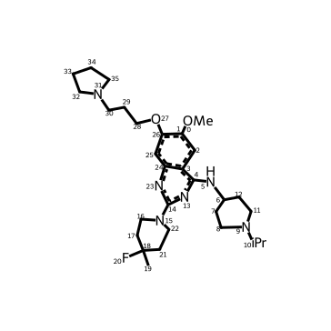 COc1cc2c(NC3CCN(C(C)C)CC3)nc(N3CCC(C)(F)CC3)nc2cc1OCCCN1CCCC1